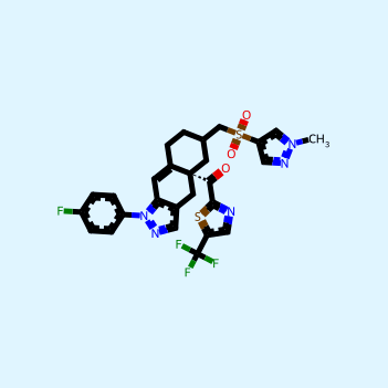 Cn1cc(S(=O)(=O)CC2CCC3=Cc4c(cnn4-c4ccc(F)cc4)C[C@]3(C(=O)c3ncc(C(F)(F)F)s3)C2)cn1